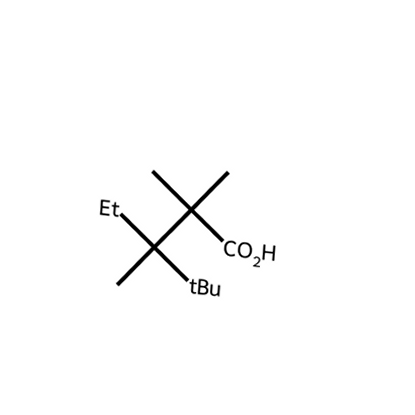 CCC(C)(C(C)(C)C)C(C)(C)C(=O)O